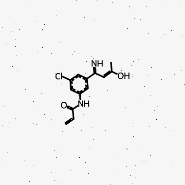 C=CC(=O)Nc1cc(Cl)cc(C(=N)/C=C(\C)O)c1